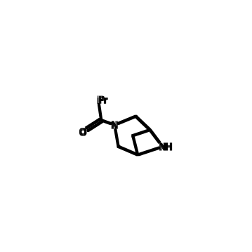 CC(C)C(=O)N1CC2CC(C1)N2